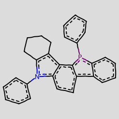 c1ccc(-n2c3c(c4c2ccc2c5ccccc5p(-c5ccccc5)c24)CCCC3)cc1